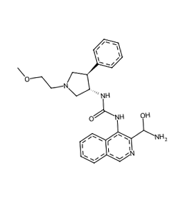 COCCN1C[C@@H](NC(=O)Nc2c(C(N)O)ncc3ccccc23)[C@H](c2ccccc2)C1